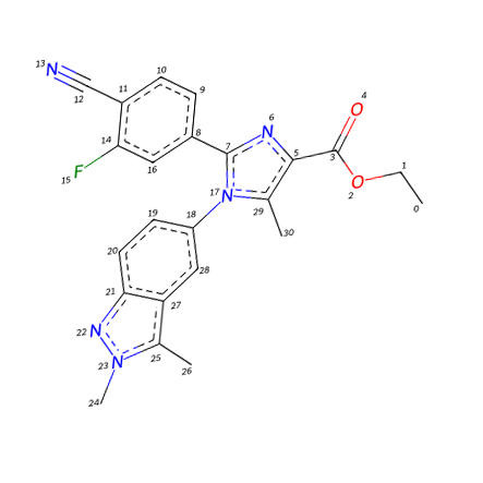 CCOC(=O)c1nc(-c2ccc(C#N)c(F)c2)n(-c2ccc3nn(C)c(C)c3c2)c1C